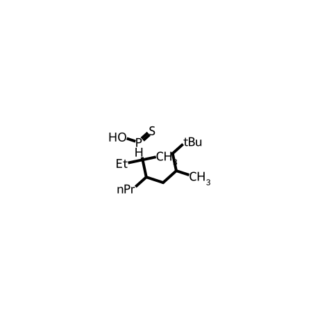 CCCC(CC(C)CC(C)(C)C)C(C)(CC)[PH](O)=S